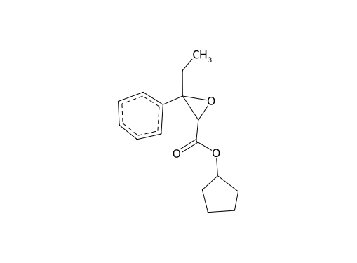 CCC1(c2ccccc2)OC1C(=O)OC1CCCC1